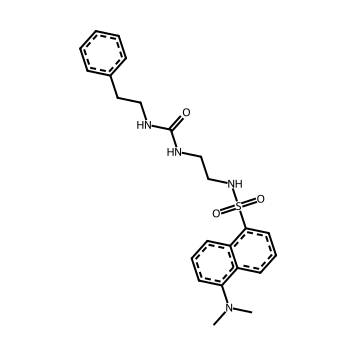 CN(C)c1cccc2c(S(=O)(=O)NCCNC(=O)NCCc3ccccc3)cccc12